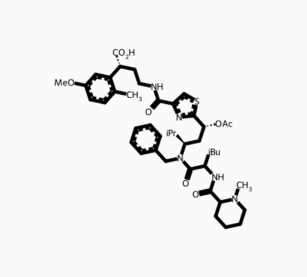 CCC(C)C(NC(=O)C1CCCCN1C)C(=O)N(Cc1ccccc1)[C@H](C[C@@H](OC(C)=O)c1nc(C(=O)NCC[C@@H](C(=O)O)c2cc(OC)ccc2C)cs1)C(C)C